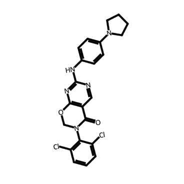 O=C1c2cnc(Nc3ccc(N4CCCC4)cc3)nc2OCN1c1c(Cl)cccc1Cl